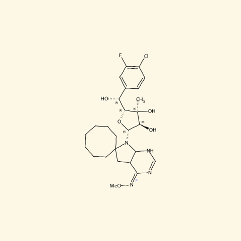 CO/N=C1/N=CNC2C1CC1(CCCCCCC1)N2[C@@H]1O[C@H]([C@H](O)c2ccc(Cl)c(F)c2)[C@@](C)(O)[C@H]1O